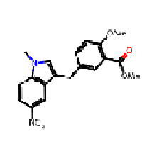 COC(=O)c1cc(Cc2cn(C)c3ccc([N+](=O)[O-])cc23)ccc1OC